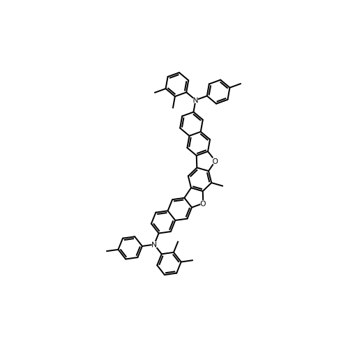 Cc1ccc(N(c2ccc3cc4c(cc3c2)oc2c(C)c3oc5cc6cc(N(c7ccc(C)cc7)c7cccc(C)c7C)ccc6cc5c3cc24)c2cccc(C)c2C)cc1